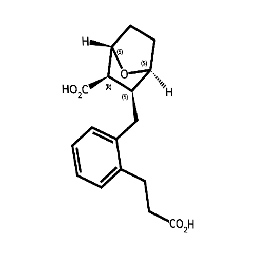 O=C(O)CCc1ccccc1C[C@H]1[C@@H](C(=O)O)[C@@H]2CC[C@@H]1O2